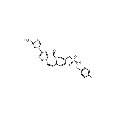 CN1CC(c2cnc3ccc4ccc(CS(=O)(=O)NCc5ccc(F)cn5)cc4c(=O)c3c2)C=N1